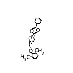 Cc1cccc(C)c1OCCN1CCN(C2=COC(C3=CC=CCC3)=CO2)CC1